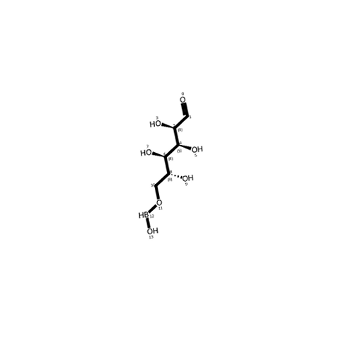 O=C[C@H](O)[C@@H](O)[C@H](O)[C@H](O)COBO